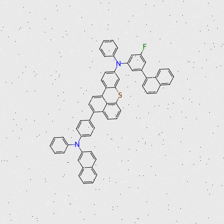 Fc1cc(-c2cccc3ccccc23)cc(N(c2ccccc2)c2ccc3c(c2)Sc2cccc4c(-c5ccc(N(c6ccccc6)c6ccc7ccccc7c6)cc5)ccc-3c24)c1